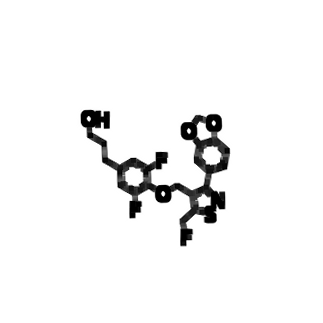 OCCCc1cc(F)c(OCc2c(-c3ccc4c(c3)OCO4)nsc2CF)c(F)c1